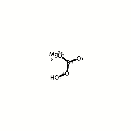 [Mg+2].[O-]B([O-])OO